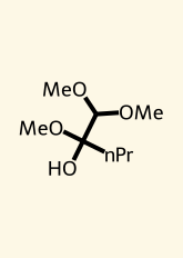 CCCC(O)(OC)C(OC)OC